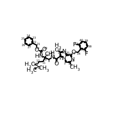 Cc1cn2c(C(=O)NCC(C)(CCS(C)(C)C)NC(=O)OCc3ccccc3)c(C)nc2c(OCc2c(F)cccc2F)n1